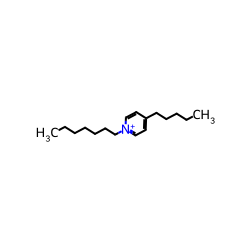 CCCCCCC[n+]1ccc(CCCCC)cc1